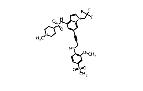 COc1cc(S(C)(=O)=O)ccc1NCC#Cc1cc(NS(=O)(=O)C2CCN(C)CC2)c2ccn(CC(F)(F)F)c2c1